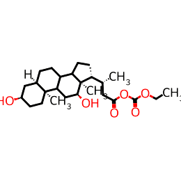 CCOC(=O)OC(=O)C[C@@H](C)[C@H]1CCC2C3CC[C@@H]4C[C@H](O)CC[C@]4(C)C3C[C@H](O)[C@@]21C